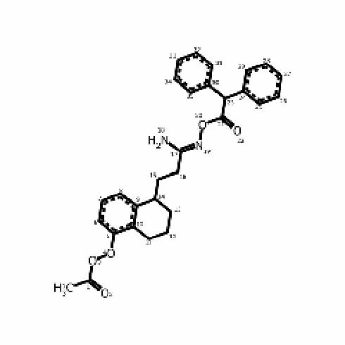 CC(=O)OOc1cccc2c1CCCC2CC/C(N)=N/OC(=O)C(c1ccccc1)c1ccccc1